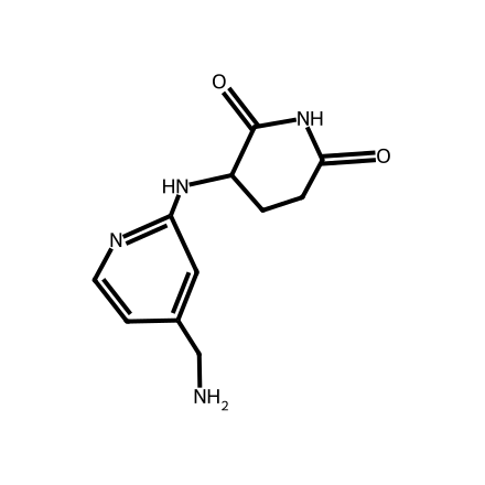 NCc1ccnc(NC2CCC(=O)NC2=O)c1